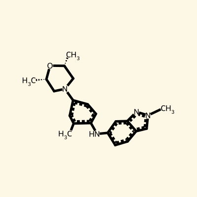 Cc1cc(N2C[C@@H](C)O[C@@H](C)C2)ccc1Nc1ccc2cn(C)nc2c1